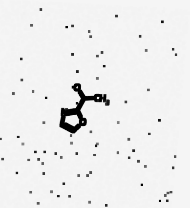 CC([O])c1ncco1